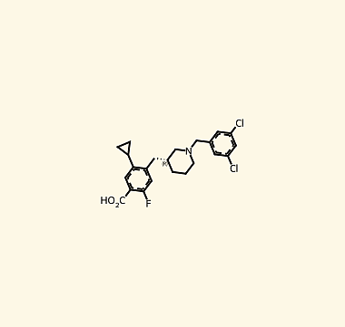 O=C(O)c1cc(C2CC2)c(C[C@H]2CCCN(Cc3cc(Cl)cc(Cl)c3)C2)cc1F